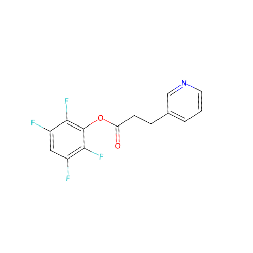 O=C(CCc1cccnc1)Oc1c(F)c(F)cc(F)c1F